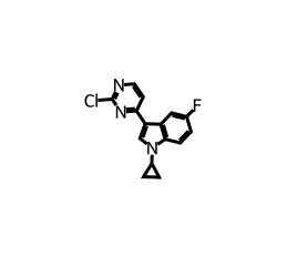 Fc1ccc2c(c1)c(-c1ccnc(Cl)n1)cn2C1CC1